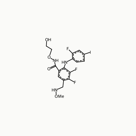 CONCc1cc(C(=O)NOCCO)c(Nc2ccc(I)cc2F)c(F)c1F